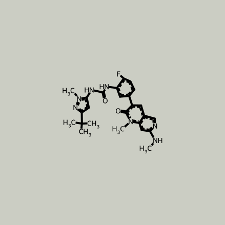 CNc1cc2c(cn1)cc(-c1ccc(F)c(NC(=O)Nc3cc(C(C)(C)C)nn3C)c1)c(=O)n2C